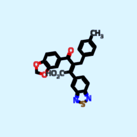 Cc1ccc(CC(C(=O)c2ccc3c(c2)OCO3)=C(C(=O)O)c2ccc3nsnc3c2)cc1